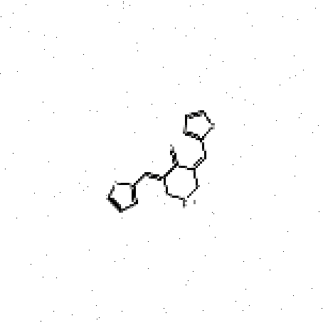 Cl.O=C1/C(=C\c2cccs2)CNC/C1=C\c1cccs1